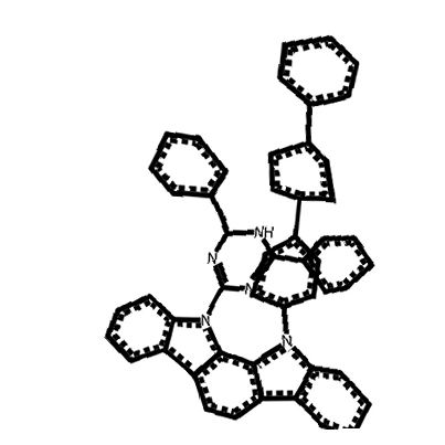 c1ccc(C2=NC(n3c4ccccc4c4ccc5c6ccccc6n(-c6ccc(-c7ccc(-c8ccccc8)cc7)cc6)c5c43)=NC(c3ccccc3)N2)cc1